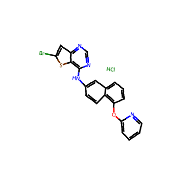 Brc1cc2ncnc(Nc3ccc4c(Oc5ccccn5)cccc4c3)c2s1.Cl